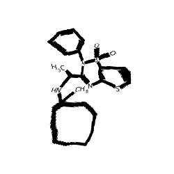 CC(NC1(C)CCCCCCCC1)C1=Nc2sccc2S(=O)(=O)N1c1ccccc1